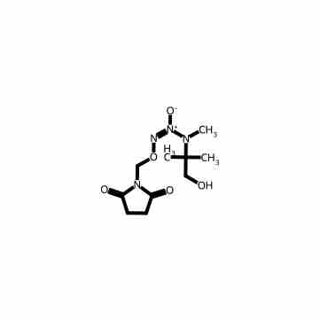 CN(/[N+]([O-])=N\OCN1C(=O)CCC1=O)C(C)(C)CO